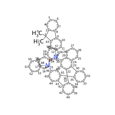 CC1(C)c2ccccc2-c2ccc(N(c3ccccc3)c3cc4c(c5ccccc35)-c3ccccc3C43c4ccccc4-c4ccc(N(c5ccccc5)c5ccccc5)cc43)cc21